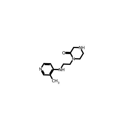 Cc1cnccc1NCCN1CCNCC1=O